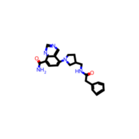 NC(=O)c1ccc(N2CCC(CNC(=O)Cc3ccccc3)C2)c2cncnc12